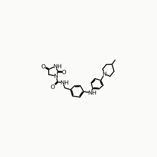 CC1CCN(c2ccc(Nc3ccc(CNC(=O)N4CC(=O)NC4=O)cc3)cc2)CC1